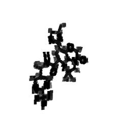 Cc1cnc(-c2cc(C(=O)NC(C)c3cnc(C(F)(F)F)nc3)cc3c2OCC(=O)N3CC2(F)CC2)s1